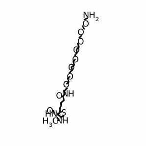 CN[C@H]1CSC(CCCCC(=O)NCCOCCOCCOCCOCCOCCOCCOCCOCCN)[C@H]1NC=O